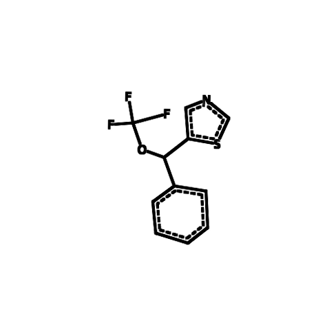 FC(F)(F)OC(c1ccccc1)c1cncs1